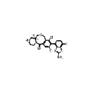 Nc1nc2c(-c3c(Cl)cc4c(c3Cl)COC[C@H]3CNCCN3C4=O)ccc(F)c2s1